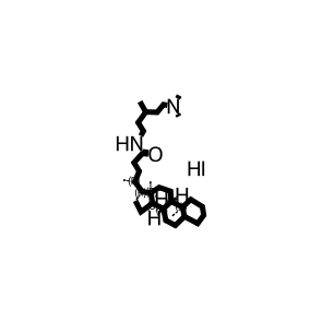 CC(CCNC(=O)CC[C@@H](C)[C@H]1CC[C@H]2[C@@H]3CCC4CCCC[C@]4(C)[C@H]3CC[C@]12C)CCN(C)C.I